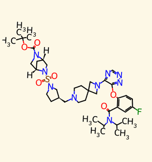 CC(C)N(C(=O)c1cc(F)ccc1Oc1nncnc1N1CC2(CCN(C[C@H]3CCN(S(=O)(=O)N4C[C@@H]5C[C@H]4CN5C(=O)OC(C)(C)C)C3)CC2)C1)C(C)C